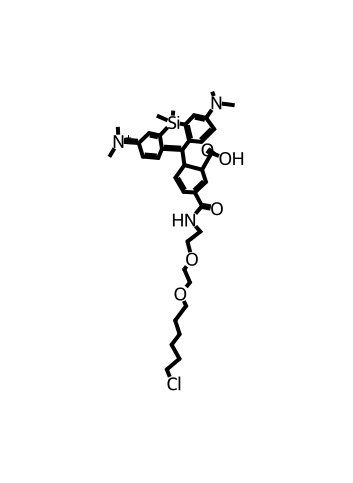 CN(C)c1ccc2c(c1)[Si](C)(C)C1=CC(=[N+](C)C)C=CC1=C2C1C=CC(C(=O)NCCOCCOCCCCCCCl)=CC1C(=O)O